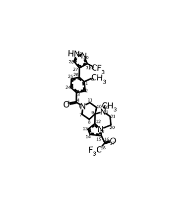 Cc1cc(C(=O)N2CCC3(CC2)c2ccc(C(=O)C(F)(F)F)n2CCN3C)ccc1-c1c[nH]nc1C(F)(F)F